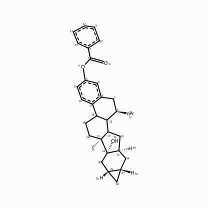 CCC[C@@H]1Cc2cc(OC(=O)c3ccccc3)ccc2C2CC[C@@]3(C)C(C[C@H]4C[C@@H]5C[C@@H]5C[C@]43O)C21